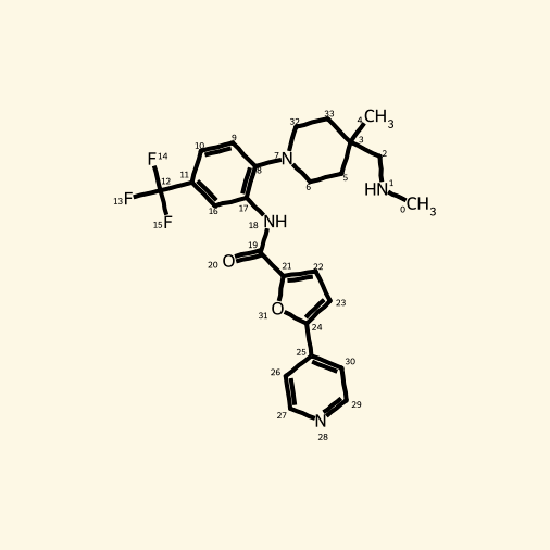 CNCC1(C)CCN(c2ccc(C(F)(F)F)cc2NC(=O)c2ccc(-c3ccncc3)o2)CC1